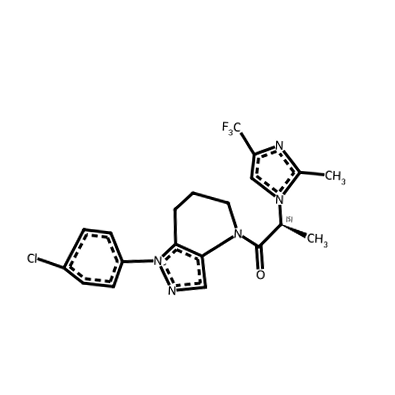 Cc1nc(C(F)(F)F)cn1[C@@H](C)C(=O)N1CCCc2c1cnn2-c1ccc(Cl)cc1